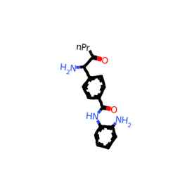 CCCC(=O)C(N)c1ccc(C(=O)Nc2ccccc2N)cc1